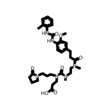 COc1cc(CCC(=O)N(C)CCN(C)C(=O)N(CCCN2CCCC2=O)CCC(=O)O)ccc1NC(=O)Nc1ccccc1C